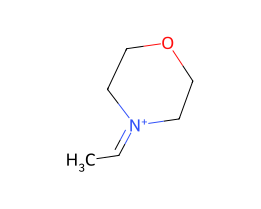 CC=[N+]1CCOCC1